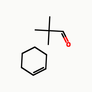 C1=CCCCC1.CC(C)(C)C=O